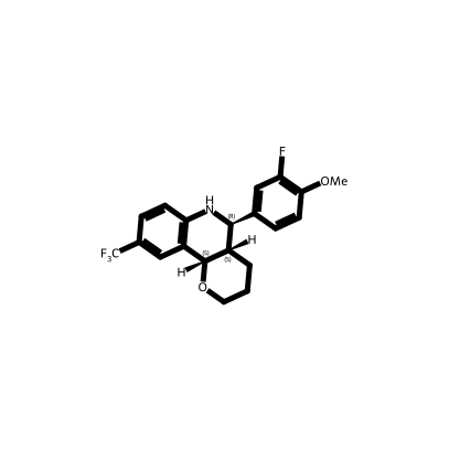 COc1ccc([C@@H]2Nc3ccc(C(F)(F)F)cc3[C@H]3OCCC[C@H]32)cc1F